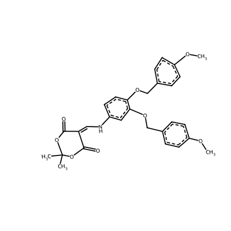 COc1ccc(COc2ccc(NC=C3C(=O)OC(C)(C)OC3=O)cc2OCc2ccc(OC)cc2)cc1